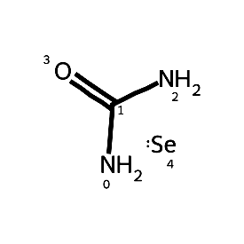 NC(N)=O.[Se]